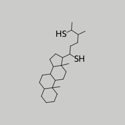 CC(S)C(C)CCC(S)C1CCC2C3CCC4CCCCC4(C)C3CCC12C